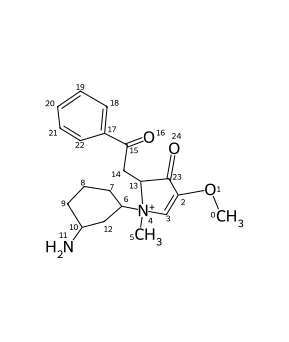 COC1=C[N+](C)(C2CCCC(N)C2)C(CC(=O)c2ccccc2)C1=O